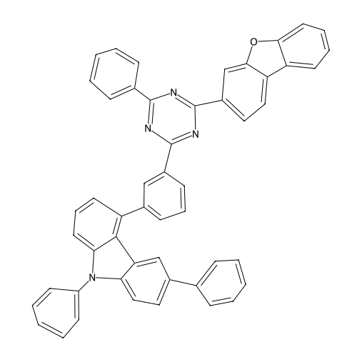 c1ccc(-c2ccc3c(c2)c2c(-c4cccc(-c5nc(-c6ccccc6)nc(-c6ccc7c(c6)oc6ccccc67)n5)c4)cccc2n3-c2ccccc2)cc1